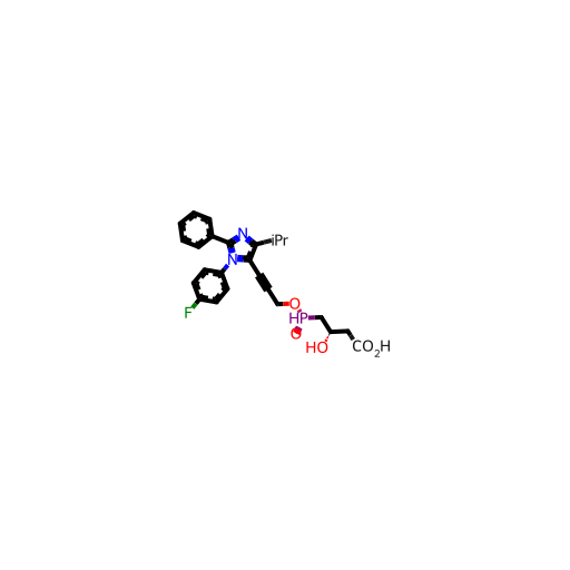 CC(C)c1nc(-c2ccccc2)n(-c2ccc(F)cc2)c1C#CCO[PH](=O)C[C@@H](O)CC(=O)O